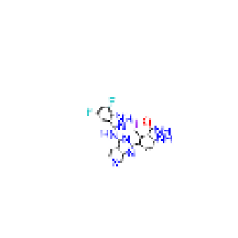 O=c1[nH][nH]c2ccc(-c3nc(Nc4n[nH]c5c(F)cc(F)cc45)c4ccncc4n3)c(CI)c12